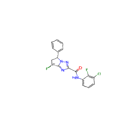 O=C(Nc1cccc(Cl)c1F)c1nc2n(n1)C(c1ccccc1)C[C@@H]2F